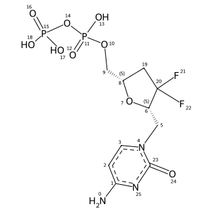 Nc1ccn(C[C@@H]2O[C@H](COP(=O)(O)OP(=O)(O)O)CC2(F)F)c(=O)n1